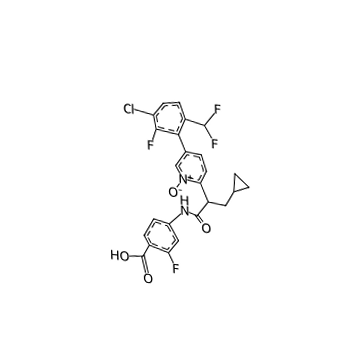 O=C(O)c1ccc(NC(=O)C(CC2CC2)c2ccc(-c3c(C(F)F)ccc(Cl)c3F)c[n+]2[O-])cc1F